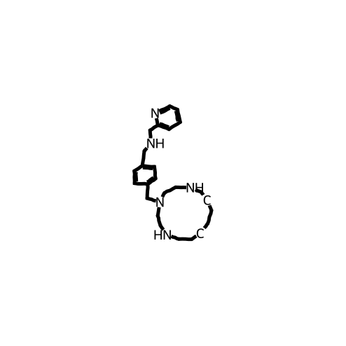 c1ccc(CNCc2ccc(CN3CCNCCCCCCCNCC3)cc2)nc1